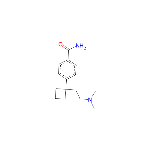 CN(C)CCC1(c2ccc(C(N)=O)cc2)CCC1